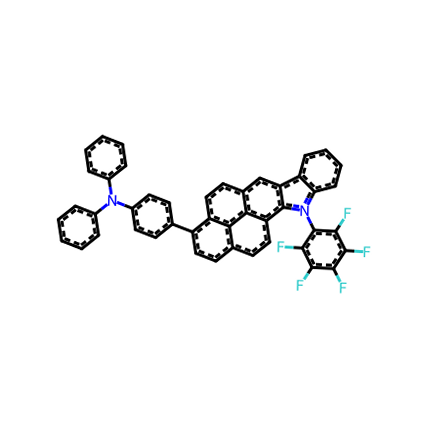 Fc1c(F)c(F)c(-n2c3ccccc3c3cc4ccc5c(-c6ccc(N(c7ccccc7)c7ccccc7)cc6)ccc6ccc(c4c65)c32)c(F)c1F